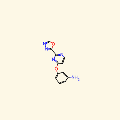 Nc1cccc(Oc2ccnc(-c3nnco3)n2)c1